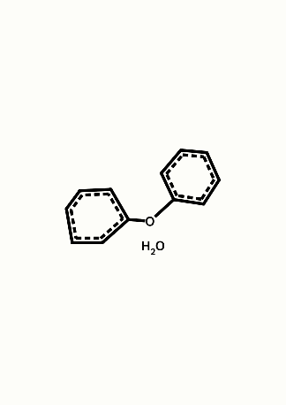 O.c1ccc(Oc2ccccc2)cc1